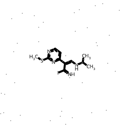 CSc1nccc(/C(=C/NC(C)C)C(=N)I)n1